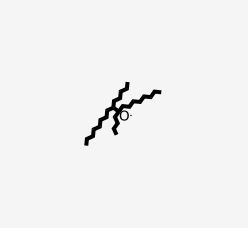 CCCCCCCCC(CCCCC)C([O])(CCCC)CCCCCCCC